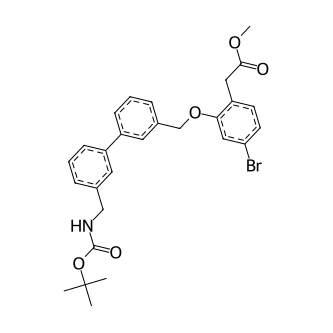 COC(=O)Cc1ccc(Br)cc1OCc1cccc(-c2cccc(CNC(=O)OC(C)(C)C)c2)c1